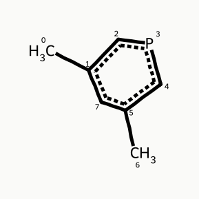 Cc1cpcc(C)c1